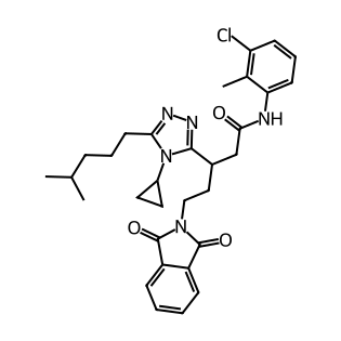 Cc1c(Cl)cccc1NC(=O)CC(CCN1C(=O)c2ccccc2C1=O)c1nnc(CCCC(C)C)n1C1CC1